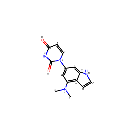 CN(C)c1cc(-n2ccc(=O)[nH]c2=O)cc2[nH]ccc12